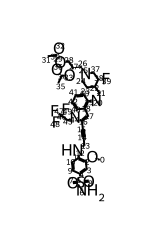 COc1cc(S(N)(=O)=O)ccc1NCC#Cc1cc2c(/N=C\C3CCN(C[C@H](COC(C)=O)OC(C)=O)C[C@@H]3F)cccc2n1CC(F)(F)F